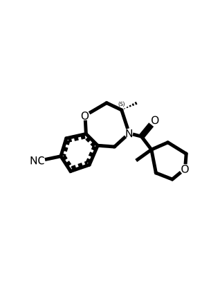 C[C@H]1COc2cc(C#N)ccc2CN1C(=O)C1(C)CCOCC1